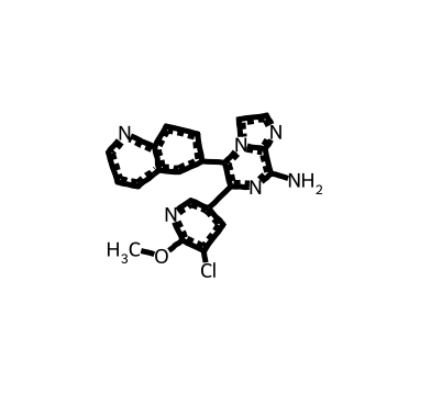 COc1ncc(-c2nc(N)c3nccn3c2-c2ccc3ncccc3c2)cc1Cl